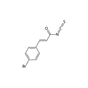 O=C(/C=C/c1ccc(Br)cc1)N=C=S